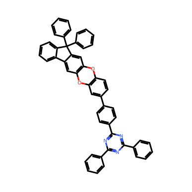 c1ccc(-c2nc(-c3ccccc3)nc(-c3ccc(-c4ccc5c(c4)Oc4cc6c(cc4O5)C(c4ccccc4)(c4ccccc4)c4ccccc4-6)cc3)n2)cc1